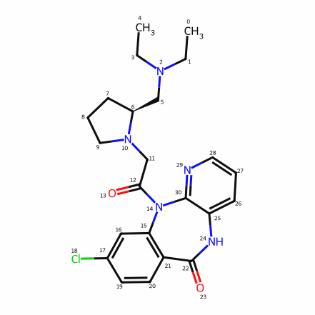 CCN(CC)C[C@@H]1CCCN1CC(=O)N1c2cc(Cl)ccc2C(=O)Nc2cccnc21